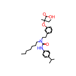 CCCCCCCN(CCc1cccc(OC(C)(CC)C(=O)O)c1)C(=O)Nc1ccc(C(C)C)cc1